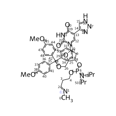 C/N=C/CCOP(OC1CC(n2cc(-c3c[nH]nn3)c(=O)[nH]c2=O)OC1COC(c1ccccc1)(c1ccc(OC)cc1)c1ccc(OC)cc1)N(C(C)C)C(C)C